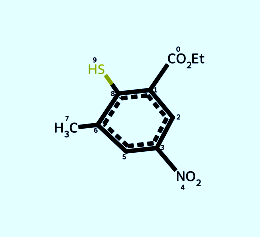 CCOC(=O)c1cc([N+](=O)[O-])cc(C)c1S